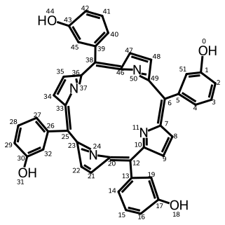 Oc1cccc(C2=C3C=CC(=N3)C(c3cccc(O)c3)=C3C=CC(=N3)C(c3cccc(O)c3)=C3C=CC(=N3)C(c3cccc(O)c3)=C3C=CC2=N3)c1